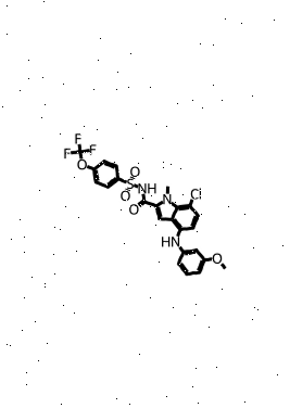 COc1cccc(Nc2ccc(Cl)c3c2cc(C(=O)NS(=O)(=O)c2ccc(OC(F)(F)F)cc2)n3C)c1